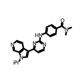 CC(C)n1cc(-c2ccnc(Nc3ccc(C(=O)N(C)C)cc3)n2)c2ccncc21